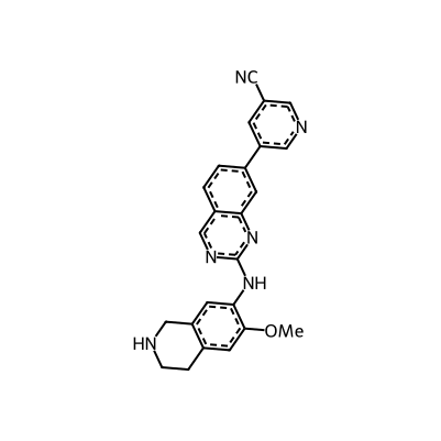 COc1cc2c(cc1Nc1ncc3ccc(-c4cncc(C#N)c4)cc3n1)CNCC2